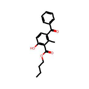 CCCCOC(=O)c1c(O)ccc(C(=O)c2ccccc2)c1C